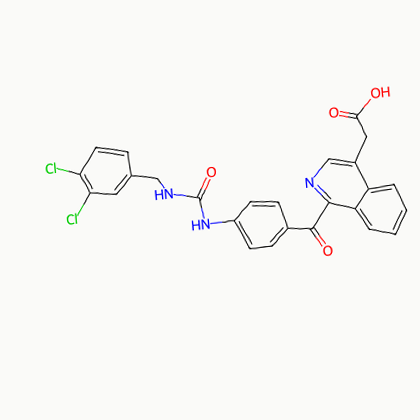 O=C(O)Cc1cnc(C(=O)c2ccc(NC(=O)NCc3ccc(Cl)c(Cl)c3)cc2)c2ccccc12